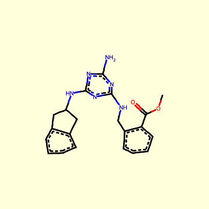 COC(=O)c1ccccc1CNc1nc(N)nc(NC2Cc3ccccc3C2)n1